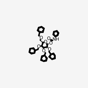 O=C(Nc1ccccc1)O[C@H]1O[C@H](COCc2ccccc2)[C@H](OCc2ccccc2)[C@H](OCc2ccccc2)[C@H]1OCc1ccccc1